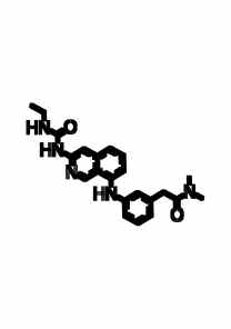 CCNC(=O)Nc1cc2cccc(Nc3cccc(CC(=O)N(C)C)c3)c2cn1